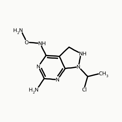 CC(Cl)N1NCc2c(NON)nc(N)nc21